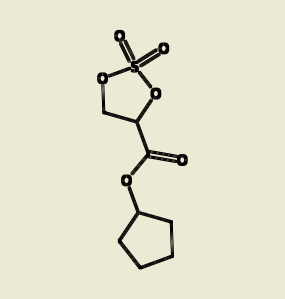 O=C(OC1CCCC1)C1COS(=O)(=O)O1